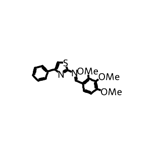 COc1ccc(C=Nc2nc(-c3ccccc3)cs2)c(OC)c1OC